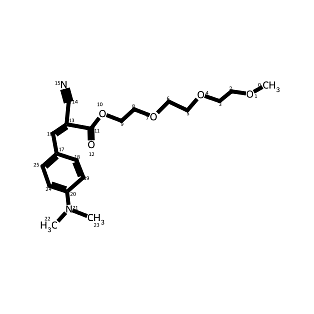 COCCOCCOCCOC(=O)C(C#N)=Cc1ccc(N(C)C)cc1